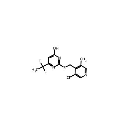 Cc1cncc(Cl)c1CSc1nc(O)cc(C(C)(F)F)n1